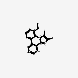 CCc1cccc2c3cnccc3c3nc(C)c(C)n3c12